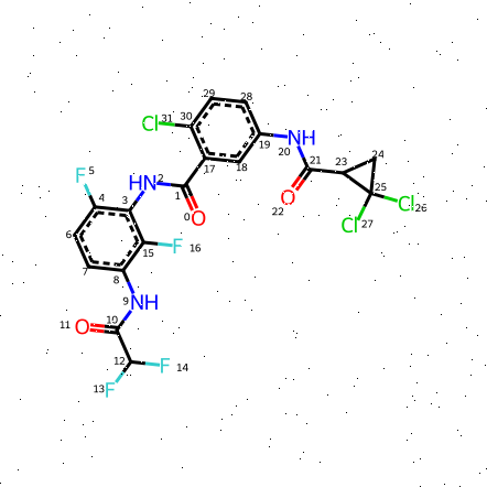 O=C(Nc1c(F)ccc(NC(=O)C(F)F)c1F)c1cc(NC(=O)C2CC2(Cl)Cl)ccc1Cl